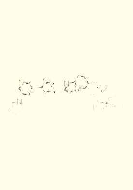 CC1(C)CCN(Cc2ccc3nc(Cn4cc(-c5cncc(N6CCCC6)c5)nn4)cn3c2)CC1